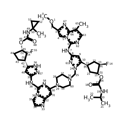 COCc1cn2c(Nc3cc([C@H]4C[C@@H](F)[C@@H](OC(=O)NC(C)C)C4)n(CN4CCN(c5cc6nccn6c(Nc6cc([C@@H]7CC[C@H](OC(=O)NC8(C)CC8)[C@@H]7F)[nH]n6)n5)CC4)n3)ncc(C)c2n1